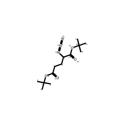 CC(C)(C)OC(=O)CCC(N=[N+]=[N-])C(=O)OC(C)(C)C